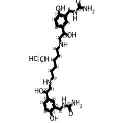 Cl.Cl.NC(=O)NCc1cc(C(O)CNCCCCCCNCC(O)c2ccc(O)c(CNC(N)=O)c2)ccc1O